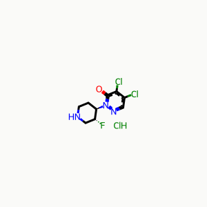 Cl.O=c1c(Cl)c(Cl)cnn1[C@@H]1CCNC[C@H]1F